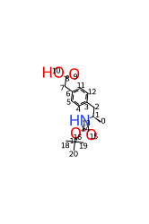 C[C@H](Cc1ccc(CC(=O)O)cc1)NC(=O)OC(C)(C)C